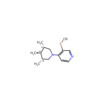 C[C@H]1[C@H](C)CN(c2ccncc2SC#N)C[C@@H]1C